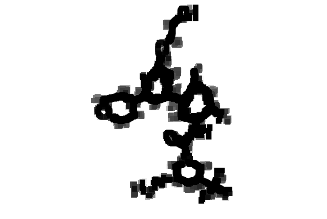 Cc1cc(F)c(NC(=O)N2C[C@H](N)C[C@H](C(F)(F)F)C2)cc1-c1cc(OCCO)nc(N2CCOCC2)c1